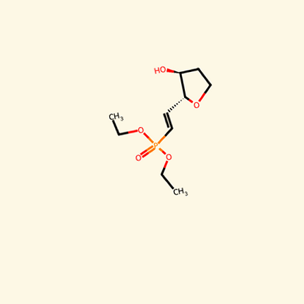 CCOP(=O)(/C=C/[C@H]1OCC[C@@H]1O)OCC